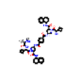 CN[C@@H](C)C(=O)N[C@H](C(=O)N1C[C@@H](NC(=O)c2ccc(C(=O)N[C@H]3C[C@@H](C(=O)N[C@@H]4CCCc5ccccc54)N(C(=O)[C@@H](N)C4CCC4)C3)cc2)C[C@H]1C(=O)N[C@@H]1CCCc2ccccc21)C1CCC1